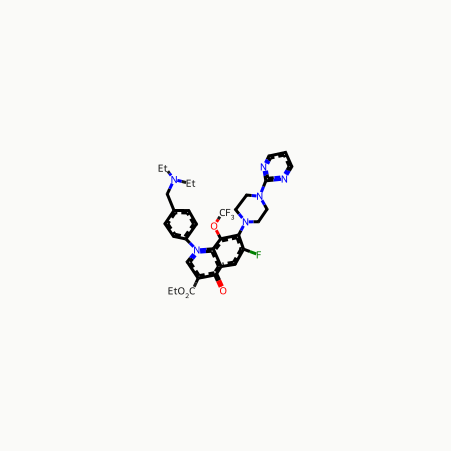 CCOC(=O)c1cn(-c2ccc(CN(CC)CC)cc2)c2c(OC(F)(F)F)c(N3CCN(c4ncccn4)CC3)c(F)cc2c1=O